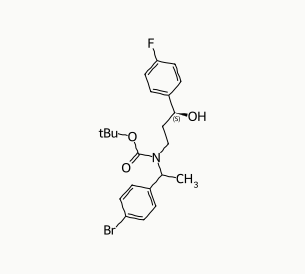 CC(c1ccc(Br)cc1)N(CC[C@H](O)c1ccc(F)cc1)C(=O)OC(C)(C)C